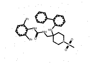 CC(C)c1cccc(C(C)C)c1NC(=O)NCC1(Nc2ccccc2-c2ccccc2)CCN(S(C)(=O)=O)CC1